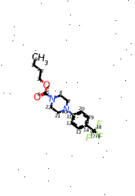 CCCCOC(=O)N1CCN(c2ccc(C(F)(F)F)cc2)CC1